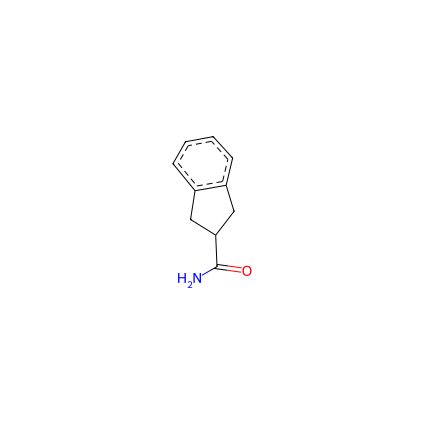 NC(=O)C1Cc2ccccc2C1